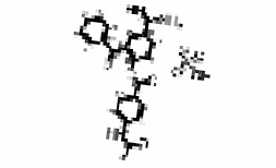 CC(=O)Nc1ccc(C(=O)Oc2ccc(C(=N)N)cc2C(=O)c2ccccc2)cc1.CS(=O)(=O)O